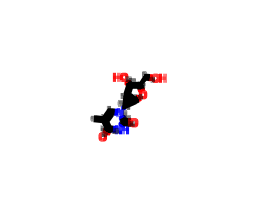 Cc1cn([C@@H]2C3O[C@H](CO)C(O)C32)c(=O)[nH]c1=O